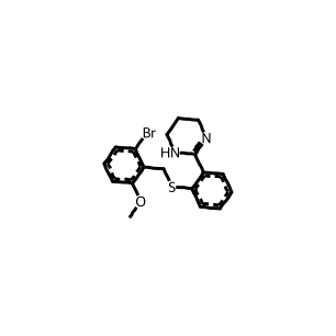 COc1cccc(Br)c1CSc1ccccc1C1=NCCCN1